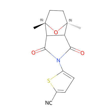 C[C@@]12CC[C@](C)(O1)C1C(=O)N(c3ccc(C#N)s3)C(=O)C12